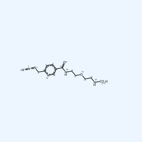 [N-]=[N+]=NCc1ccc(C(=O)NCCOCCNC(=O)O)cn1